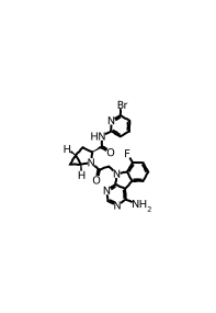 Nc1ncnc2c1c1cccc(F)c1n2CC(=O)N1[C@@H]2C[C@@H]2C[C@H]1C(=O)Nc1cccc(Br)n1